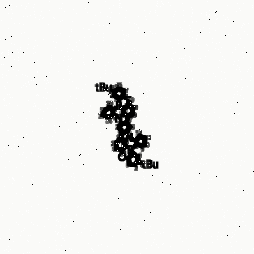 CC(C)(C)c1ccc2c(c1)B1c3ccccc3-n3c4cc5c6ccc7c8c6n(c5cc4c4ccc(c1c43)O2)-c1ccccc1B8c1cc(C(C)(C)C)ccc1S7